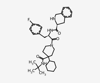 CC(C)(C)NC(=O)C1(C2CCCCC2)CCN(C(=O)[C@@H](Cc2ccc(F)cc2)NC(=O)[C@@H]2Cc3ccccc3CN2)CC1